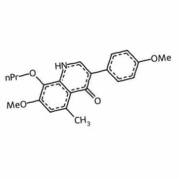 CCCOc1c(OC)cc(C)c2c(=O)c(-c3ccc(OC)cc3)c[nH]c12